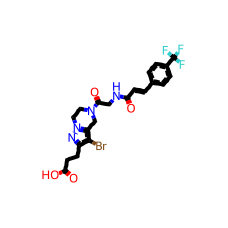 O=C(O)CCc1nn2c(c1Br)CN(C(=O)CNC(=O)/C=C/c1ccc(C(F)(F)F)cc1)CC2